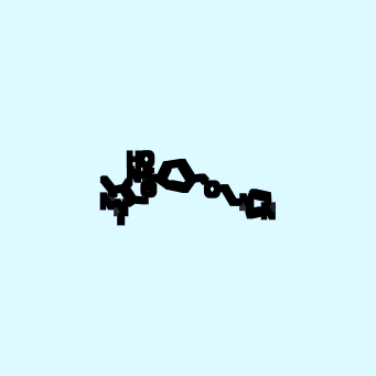 Cc1nn(C)c(C)c1NS(=O)(=O)c1ccc(COCCn2ccnc2)cc1